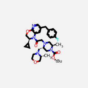 C[C@@H]1COCCN1C[C@H]1CN(C(=O)OC(C)(C)C)[C@H](C)CN1CC(=O)N1c2cc(Cc3ccc(F)cc3)cnc2OC[C@@H]1C1CC1